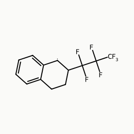 FC(F)(F)C(F)(F)C(F)(F)C1[CH]c2ccccc2CC1